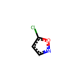 Clc1c[c]no1